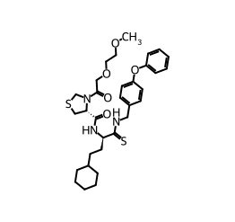 COCCOCC(=O)N1CSC[C@H]1C(=O)N[C@H](CCC1CCCCC1)C(=S)NCc1ccc(Oc2ccccc2)cc1